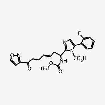 CC(C)(C)OC(=O)NC(CC=CCCC(=O)c1ccon1)c1ncc(-c2ccccc2F)n1C(=O)O